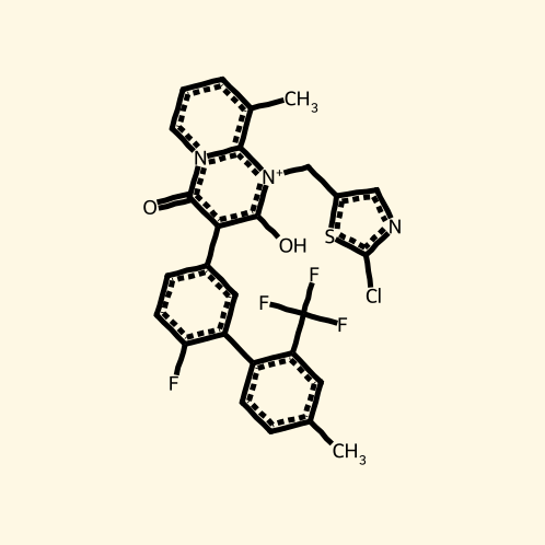 Cc1ccc(-c2cc(-c3c(O)[n+](Cc4cnc(Cl)s4)c4c(C)cccn4c3=O)ccc2F)c(C(F)(F)F)c1